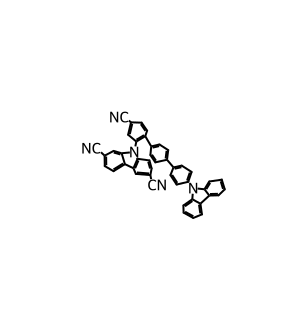 N#Cc1ccc(-c2ccc(-c3ccc(-n4c5ccccc5c5ccccc54)cc3)cc2)c(-n2c3ccc(C#N)cc3c3ccc(C#N)cc32)c1